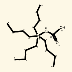 CCCCP(CCCC)(CCCC)(CCCC)OC(=O)O